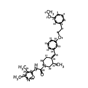 COc1cccc(CCOc2cccc(/C=C3\CCN(C(=O)Nc4onc(C)c4C)CC3C)c2)c1